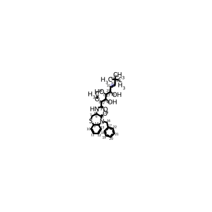 CO[C@@H](C(=O)N[C@H]1CSC2C=CC=CC2N(Cc2ccccc2)C1=O)[C@H](O)[C@@H](O)[C@H](O)/C=C/C(C)(C)C